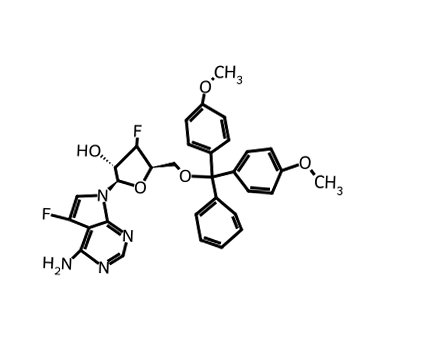 COc1ccc(C(OC[C@H]2O[C@@H](n3cc(F)c4c(N)ncnc43)[C@H](O)C2F)(c2ccccc2)c2ccc(OC)cc2)cc1